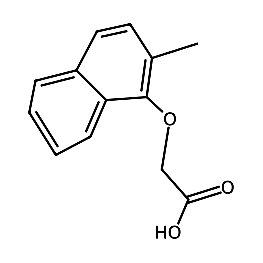 Cc1ccc2ccccc2c1OCC(=O)O